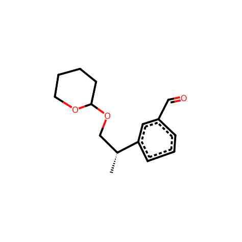 C[C@H](COC1CCCCO1)c1cccc(C=O)c1